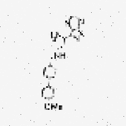 COc1ccc(-c2ccc(CNCCC(N)c3nsc4nccnc34)cc2)cc1